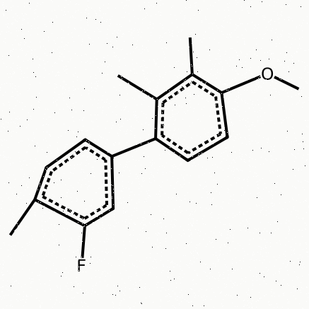 COc1ccc(-c2ccc(C)c(F)c2)c(C)c1C